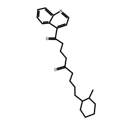 CC1CCCCC1CCCCC(=O)CCCC(=O)c1ccnc2ccccc12